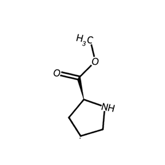 COC(=O)[C@@H]1C[CH]CN1